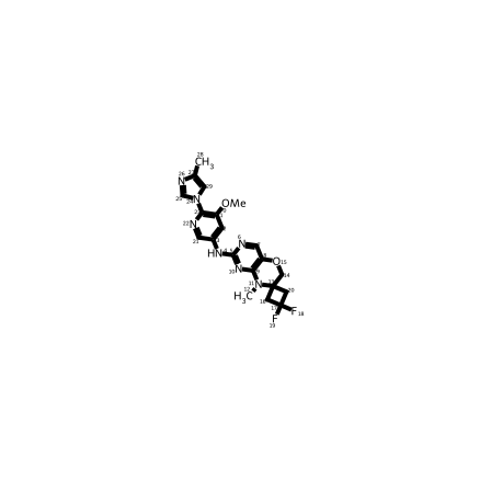 COc1cc(Nc2ncc3c(n2)N(C)C2(CO3)CC(F)(F)C2)cnc1-n1cnc(C)c1